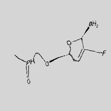 B[C@@H]1O[C@H](OC[PH](C)=O)C=C1F